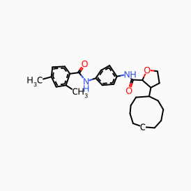 Cc1ccc(C(=O)Nc2ccc(NC(=O)C3OCCC3C3CCCCCCCCC3)cc2)c(C)c1